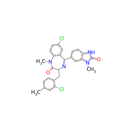 Cc1ccc(CC2N=C(c3ccc4[nH]c(=O)n(C)c4c3)c3cc(Cl)ccc3N(C)C2=O)c(Cl)c1